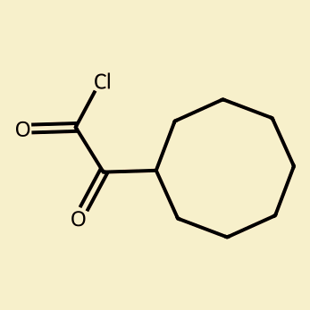 O=C(Cl)C(=O)C1CCCCCCC1